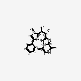 Cc1ncc(C)n2nc([C@@H](C)C(C)c3nc(-c4ccccc4)cn3C)nc12